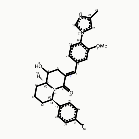 COc1cc(/C=C2\CC(O)[C@@H]3CCC[C@H](c4ccc(F)cc4)N3C2=O)ccc1-n1cnc(C)c1